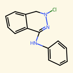 ClN1Cc2ccccc2C(Nc2ccccc2)=N1